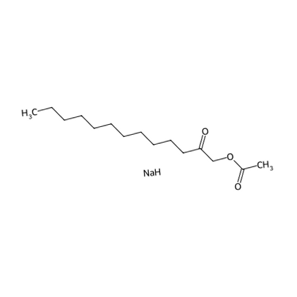 CCCCCCCCCCCC(=O)COC(C)=O.[NaH]